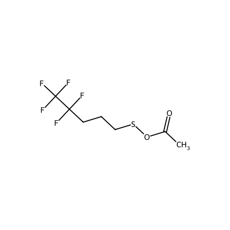 CC(=O)OSCCCC(F)(F)C(F)(F)F